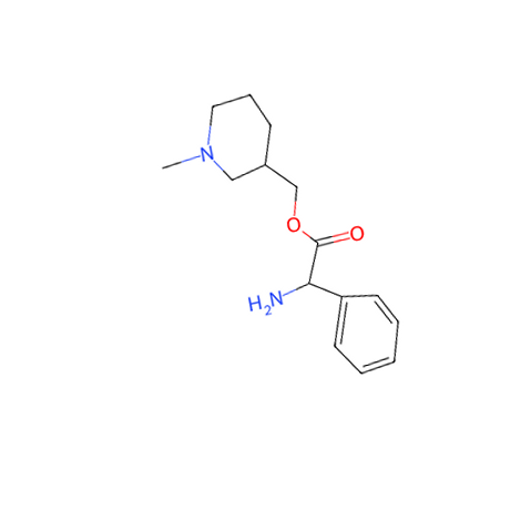 CN1CCCC(COC(=O)C(N)c2ccccc2)C1